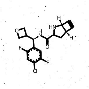 O=C(N[C@@H](c1cc(F)c(Cl)cc1F)C1COC1)C1C[C@H]2C#C[C@H]2N1